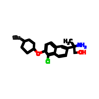 CC(N)(CO)c1ccc2c(Cl)c(OC3CCC(C(C)(C)C)CC3)ccc2c1